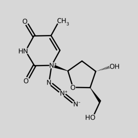 CC1=C[N+](N=[N+]=[N-])([C@H]2C[C@H](O)[C@@H](CO)O2)C(=O)NC1=O